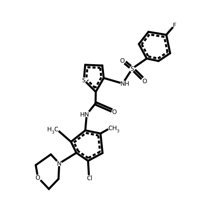 Cc1cc(Cl)c(N2CCOCC2)c(C)c1NC(=O)c1sccc1NS(=O)(=O)c1ccc(F)cc1